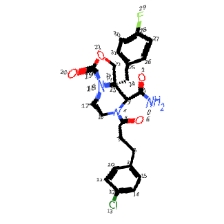 NC(=O)C1N(C(=O)[CH]Cc2ccc(Cl)cc2)CCN2C(=O)OC[C@@]12Cc1ccc(F)cc1